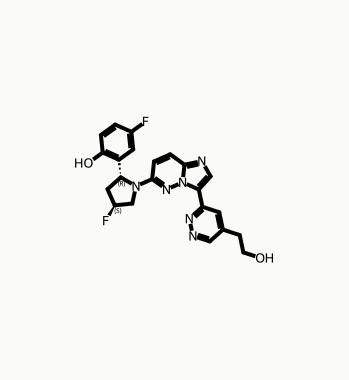 OCCc1cnnc(-c2cnc3ccc(N4C[C@@H](F)C[C@@H]4c4cc(F)ccc4O)nn23)c1